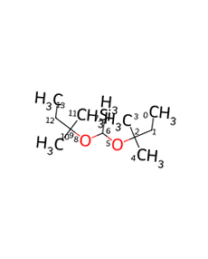 CCC(C)(C)OC([SiH3])OC(C)(C)CC